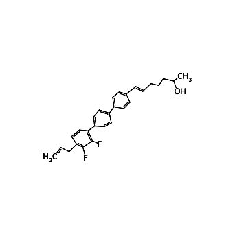 C=CCc1ccc(-c2ccc(-c3ccc(C=CCCCC(C)O)cc3)cc2)c(F)c1F